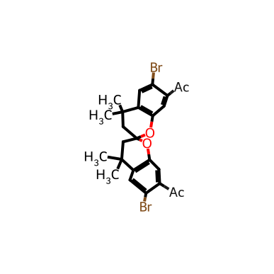 CC(=O)c1cc2c(cc1Br)C(C)(C)CC1(CC(C)(C)c3cc(Br)c(C(C)=O)cc3O1)O2